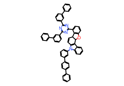 C1=CC2c3c(cccc3-c3nc(-c4cccc(-c5ccccc5)c4)nc(-c4cccc(-c5ccccc5)c4)n3)OC2c2c1n(-c1cccc(-c3ccc(-c4ccccc4)cc3)c1)c1ccccc21